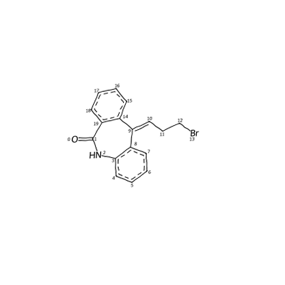 O=C1Nc2ccccc2C(=CCCBr)c2ccccc21